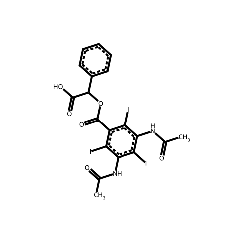 CC(=O)Nc1c(I)c(NC(C)=O)c(I)c(C(=O)OC(C(=O)O)c2ccccc2)c1I